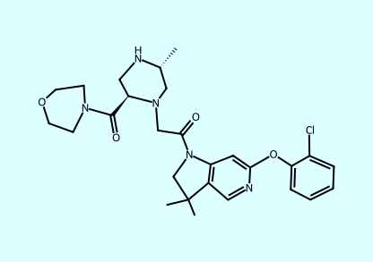 C[C@@H]1CN(CC(=O)N2CC(C)(C)c3cnc(Oc4ccccc4Cl)cc32)[C@@H](C(=O)N2CCOCC2)CN1